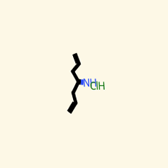 C=CCC(=N)CC=C.Cl